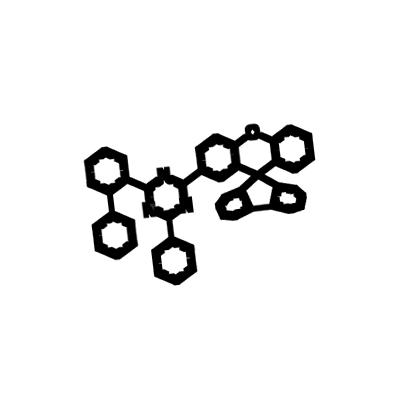 c1ccc(-c2nc(-c3ccc4c(c3)C3(c5ccccc5O4)c4ccccc4-c4ccccc43)nc(-c3ccccc3-c3ccccc3)n2)cc1